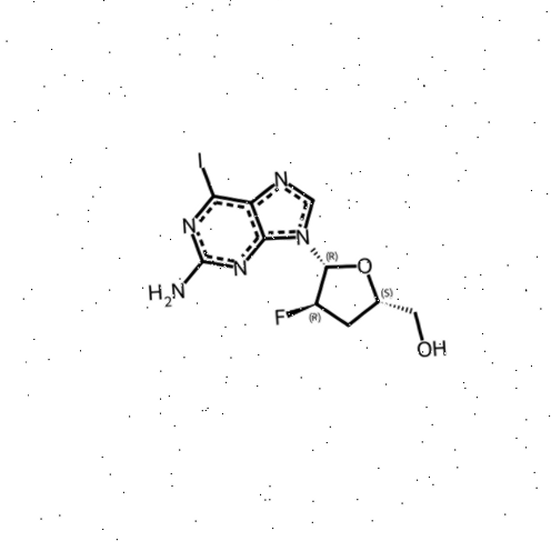 Nc1nc(I)c2ncn([C@@H]3O[C@H](CO)C[C@H]3F)c2n1